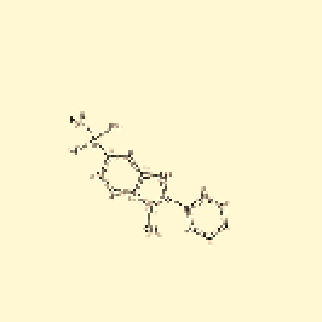 Cn1c(-c2ccccn2)nc2cc(C(F)(F)C(F)(F)F)ncc21